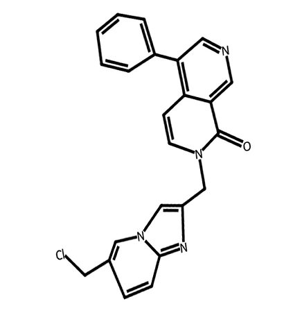 O=c1c2cncc(-c3ccccc3)c2ccn1Cc1cn2cc(CCl)ccc2n1